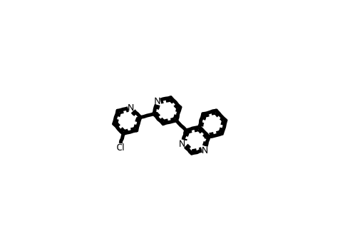 Clc1ccnc(-c2cc(-c3ncnc4ccccc34)ccn2)c1